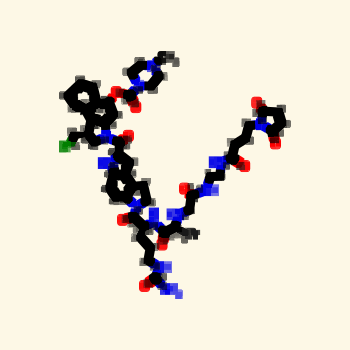 CC(C)[C@H](NCC(=O)NCCNC(=O)CCCN1C(=O)C=CC1=O)C(=O)N[C@@H](CCCNC(N)=O)C(=O)N1CCc2c1ccc1[nH]c(C(=O)N3C[C@@H](CBr)c4c3cc(OC(=O)N3CCN(C)CC3)c3ccccc43)cc21